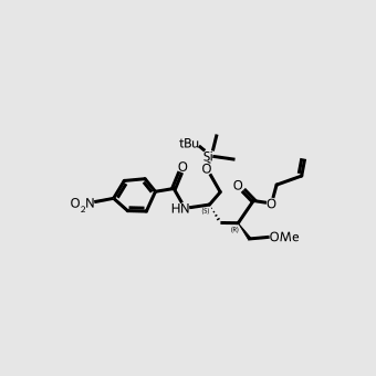 C=CCOC(=O)[C@@H](COC)C[C@@H](CO[Si](C)(C)C(C)(C)C)NC(=O)c1ccc([N+](=O)[O-])cc1